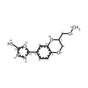 COCC1COc2ccc(-c3nnc(S)o3)cc2O1